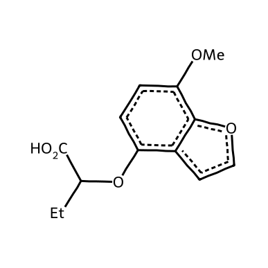 CCC(Oc1ccc(OC)c2occc12)C(=O)O